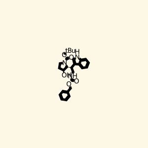 CC(C)(C)OC(=O)N1CC[C@H](O)[C@H]1C(CNC(=O)OCc1ccccc1)c1c[nH]c2ccccc12